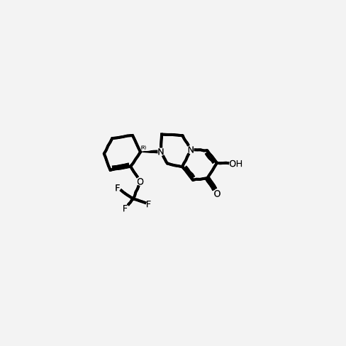 O=c1cc2n(cc1O)CCN([C@@H]1CCCC=C1OC(F)(F)F)C2